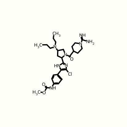 CCCN(CCC)C1CC(c2nc(Cl)c(-c3ccc(NC(=O)OC)cc3)[nH]2)N(C(=O)C2CCN(C(=N)N)CC2)C1